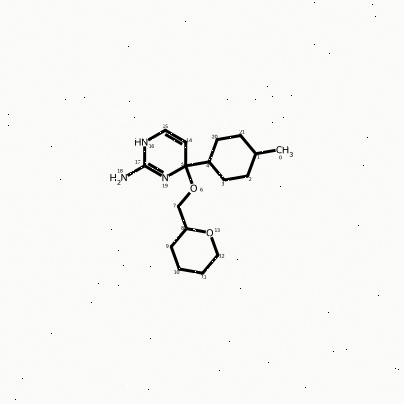 CC1CCC(C2(OCC3CCCCO3)C=CNC(N)=N2)CC1